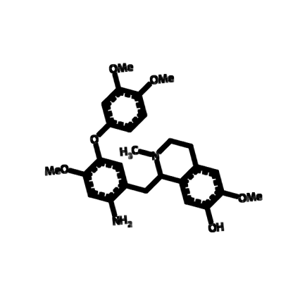 COc1cc2c(cc1O)C(Cc1cc(Oc3ccc(OC)c(OC)c3)c(OC)cc1N)N(C)CC2